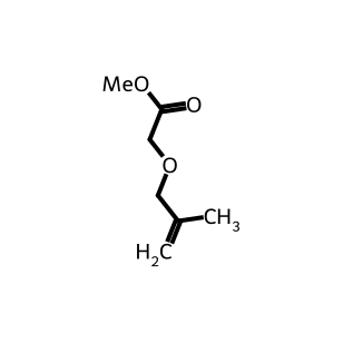 C=C(C)COCC(=O)OC